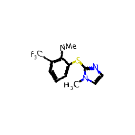 CNc1c(Sc2nccn2C)cccc1C(F)(F)F